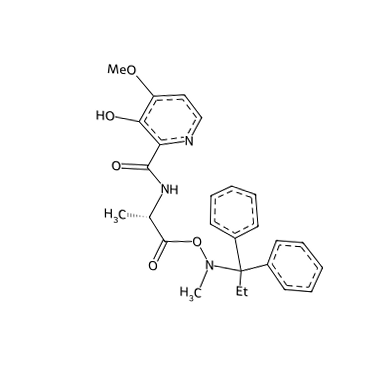 CCC(c1ccccc1)(c1ccccc1)N(C)OC(=O)[C@H](C)NC(=O)c1nccc(OC)c1O